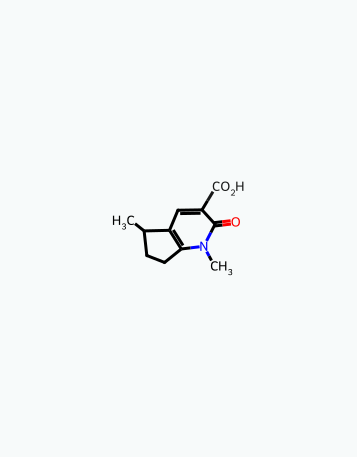 CC1CCc2c1cc(C(=O)O)c(=O)n2C